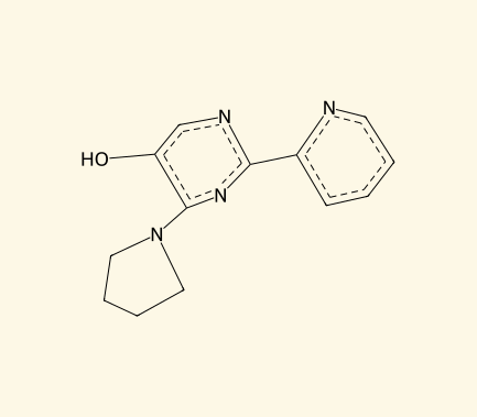 Oc1cnc(-c2ccccn2)nc1N1CCCC1